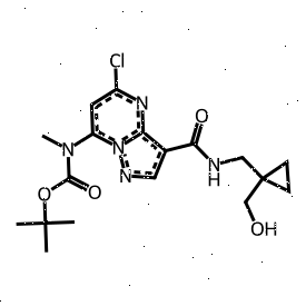 CN(C(=O)OC(C)(C)C)c1cc(Cl)nc2c(C(=O)NCC3(CO)CC3)cnn12